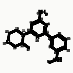 CNc1cc(-c2nc(N)cc(N3CCOCC3C)n2)ccn1